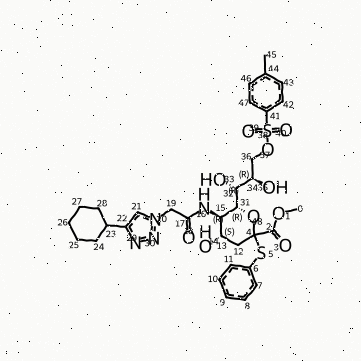 COC(=O)C1(Sc2ccccc2)C[C@H](O)[C@@H](NC(=O)Cn2cc(C3CCCCC3)nn2)[C@H]([C@H](O)[C@H](O)COS(=O)(=O)c2ccc(C)cc2)O1